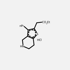 CCCc1c(CC(=O)OCC)sc2c1CNCC2.Cl